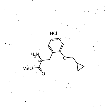 COC(=O)[C@@H](N)Cc1ccccc1OCC1CC1.Cl